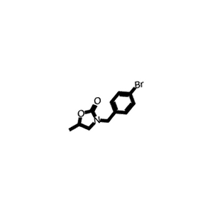 CC1CN(Cc2ccc(Br)cc2)C(=O)O1